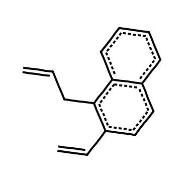 C=CCc1c(C=C)ccc2ccccc12